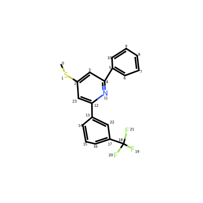 CSc1cc(-c2ccccc2)nc(-c2cccc(C(F)(F)F)c2)c1